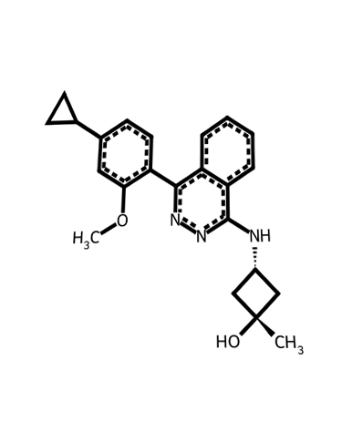 COc1cc(C2CC2)ccc1-c1nnc(N[C@H]2C[C@@](C)(O)C2)c2ccccc12